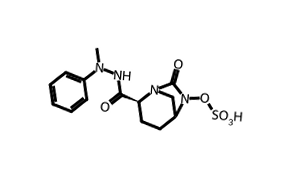 CN(NC(=O)[C@@H]1CCC2CN1C(=O)N2OS(=O)(=O)O)c1ccccc1